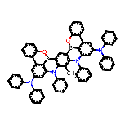 Cc1c2c(cc3c1N(c1ccccc1)c1cc(N(c4ccccc4)c4ccccc4)cc4c1B3Oc1ccccc1-4)B1Oc3ccccc3-c3cc(N(c4ccccc4)c4ccccc4)cc(c31)N2c1ccccc1